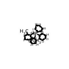 Cc1cccc(C)c1C[PH](c1ccccc1)(c1ccccc1)c1ccccc1